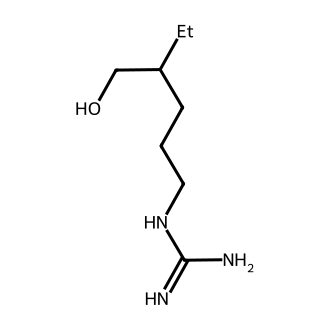 CCC(CO)CCCNC(=N)N